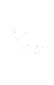 C=C/C=C\[C@H](C)[C@H](OCc1ccc(OC)cc1)[C@@H](C)[C@H](O[Si](C)(C)C(C)(C)C)[C@@H](C)C/C(C)=C\[C@H](C)[C@@H](OCOC)[C@@H](C)/C=C\[C@H](C[C@@H]1O[C@@H](O[Si](C)(C)C(C)(C)C)[C@H](C)[C@@H](O[Si](C)(C)C(C)(C)C)[C@H]1C)OCOC